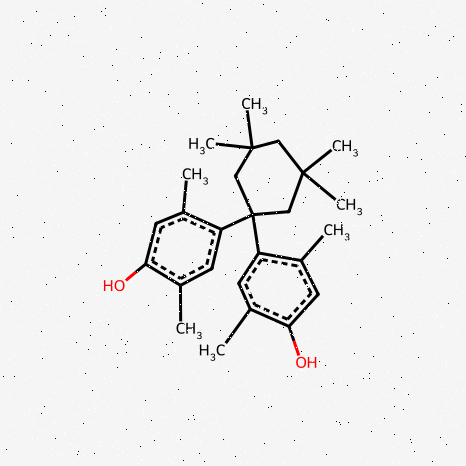 Cc1cc(C2(c3cc(C)c(O)cc3C)CC(C)(C)CC(C)(C)C2)c(C)cc1O